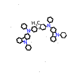 CC1C=C(N(c2ccccc2)c2ccc3c(c2)c2ccccc2n3C2=CC=CCC2)C=C[C@@H]1c1ccc(N(c2ccccc2)c2ccc3c(c2)c2ccccc2n3-c2ccccc2)cc1